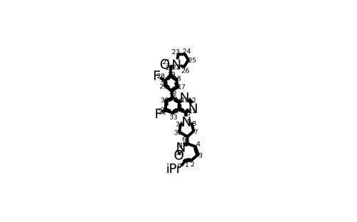 CC(C)C1=CC=CC(C2CCN(c3ncnc4c(-c5ccc(C(=O)N6CCCC6)c(F)c5)cc(F)cc34)CC2)=NO1